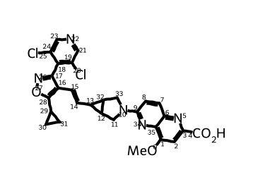 COc1cc(C(=O)O)nc2ccc(N3CC4C(/C=C/c5c(-c6c(Cl)cncc6Cl)noc5C5CC5)C4C3)nc12